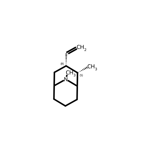 C=C[C@H]1CC2CCCC([C@H]1C)N2C